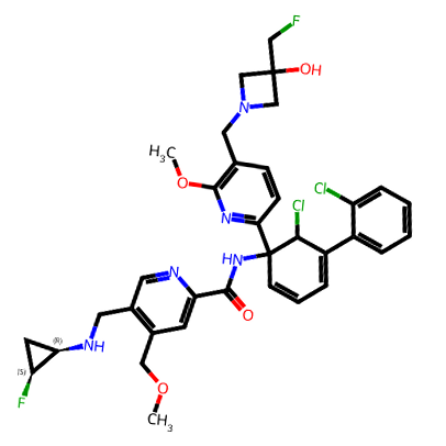 COCc1cc(C(=O)NC2(c3ccc(CN4CC(O)(CF)C4)c(OC)n3)C=CC=C(c3ccccc3Cl)C2Cl)ncc1CN[C@@H]1C[C@@H]1F